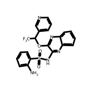 Nc1ccccc1S(=O)(=O)Nc1nc2ccccc2nc1OC(c1cccnc1)C(F)(F)F